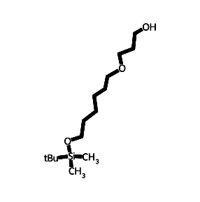 CC(C)(C)[Si](C)(C)OCCCCCCOCCCO